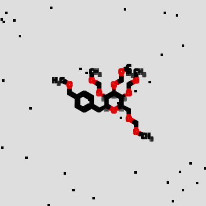 COCOC[C@H]1O[C@@H](Cc2ccc(COC)cc2)[C@H](OCOC)[C@@H](OCOC)[C@@H]1OCOC